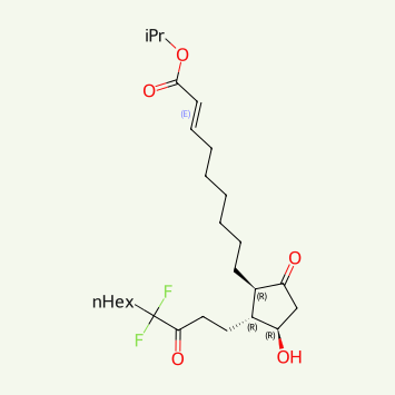 CCCCCCC(F)(F)C(=O)CC[C@H]1[C@H](O)CC(=O)[C@@H]1CCCCCC/C=C/C(=O)OC(C)C